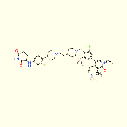 C=N/C=C\c1c(-c2cc(F)c(CN3CCC(CCN4CCC(c5ccc(NC6CCC(=O)NC6=O)cc5F)CC4)CC3)c(OC)c2)cn(C)c(=O)c1C